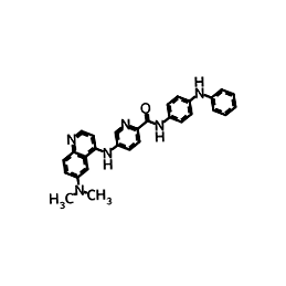 CN(C)c1ccc2nccc(Nc3ccc(C(=O)Nc4ccc(Nc5ccccc5)cc4)nc3)c2c1